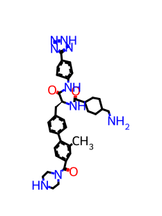 Cc1cc(C(=O)N2CCNCC2)ccc1-c1ccc(C[C@H](NC(=O)C2CCC(CN)CC2)C(=O)Nc2ccc(-c3nn[nH]n3)cc2)cc1